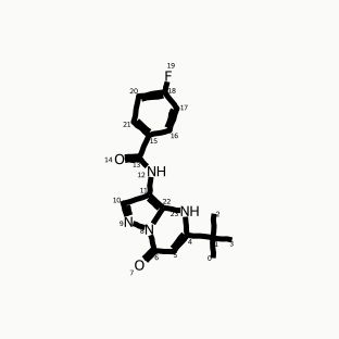 CC(C)(C)c1cc(=O)n2ncc(NC(=O)c3ccc(F)cc3)c2[nH]1